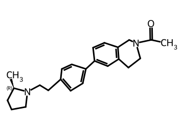 CC(=O)N1CCc2cc(-c3ccc(CCN4CCC[C@H]4C)cc3)ccc2C1